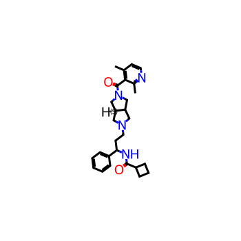 Cc1ccnc(C)c1C(=O)N1CC2CN(CCC(NC(=O)C3CCC3)c3ccccc3)C[C@H]2C1